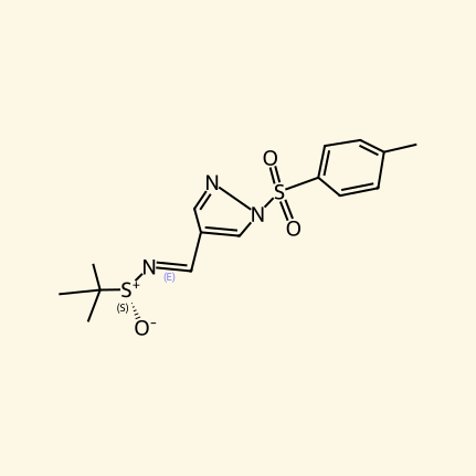 Cc1ccc(S(=O)(=O)n2cc(/C=N/[S@+]([O-])C(C)(C)C)cn2)cc1